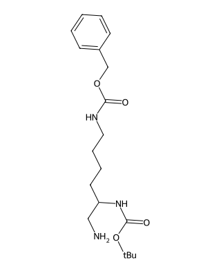 CC(C)(C)OC(=O)NC(CN)CCCCNC(=O)OCc1ccccc1